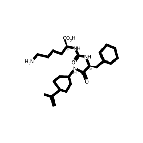 C=C(C)C1CCC(NC(=O)[C@H](CC2CCCCC2)NC(=O)N[C@@H](CCCCN)C(=O)O)CC1